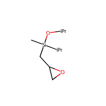 CC(C)O[Si](C)(CC1CO1)C(C)C